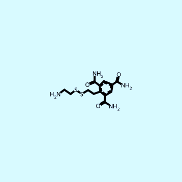 NCCSSCCc1c(C(N)=O)cc(C(N)=O)cc1C(N)=O